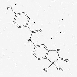 CC1(C)C(=O)Nc2cc(NC(=O)c3ccc(O)cc3)ccc21